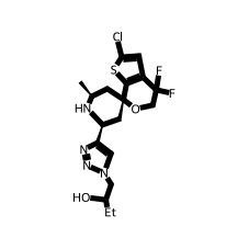 CCC(O)Cn1cc([C@@H]2C[C@]3(C[C@H](C)N2)OCC(F)(F)c2cc(Cl)sc23)nn1